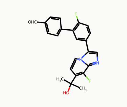 CC(C)(O)c1ccn2c(-c3ccc(F)c(-c4ccc(C=O)cc4)c3)cnc2c1F